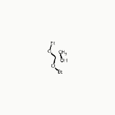 CCOCOCC.CO